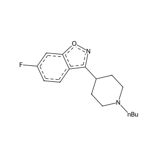 [CH2]CCCN1CCC(c2noc3cc(F)ccc23)CC1